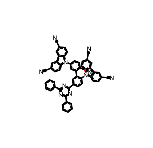 N#Cc1ccc2c(c1)c1cc(C#N)ccc1n2-c1ccc(C#N)c(-c2cc(-c3nc(-c4ccccc4)nc(-c4ccccc4)n3)ccc2-n2c3ccc(C#N)cc3c3cc(C#N)ccc32)c1